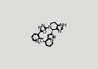 Cc1ncccc1-c1nnc(N2CCc3[nH]cnc3[C@H]2c2cc3c(C(F)(F)F)cccn3n2)o1